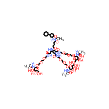 CC(=O)NC1C(OCCOCCOCCNC(=O)CCC(CCC(=O)NCCOCCOCCOC2OC(CO)C(O)C(O)C2NC(C)=O)(CCC(=O)NCCOCCOCCOC2OC(CO)C(O)C(O)C2NC(C)=O)NC(=O)CCCC(=O)NC(C)OC2CCC(C3CCCCCC3)CC2)OC(CO)C(O)C1O